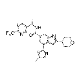 Cc1cnc(-c2cc(C(=O)NC(C)c3cnc(C(F)(F)F)nc3)cc3nn(C4CCOCC4)cc23)s1